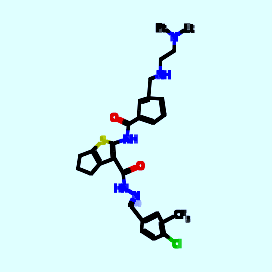 CCN(CC)CCNCc1cccc(C(=O)Nc2sc3c(c2C(=O)N/N=C/c2ccc(Cl)c(C(F)(F)F)c2)CCC3)c1